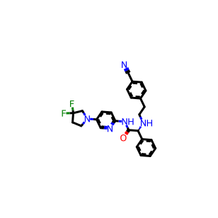 N#Cc1ccc(CCN[C@H](C(=O)Nc2ccc(N3CCC(F)(F)C3)cn2)c2ccccc2)cc1